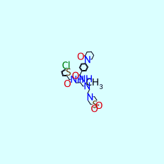 CN(CCN1CCS(=O)(=O)CC1)CC(CNC(=O)c1ccc(Cl)s1)NC(=O)c1ccc(N2CCCCC2=O)cc1